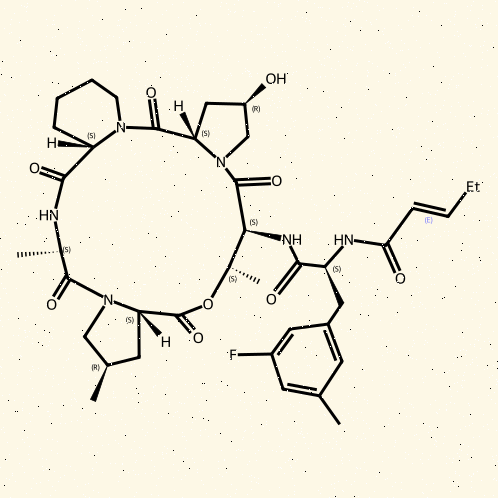 CC/C=C/C(=O)N[C@@H](Cc1cc(C)cc(F)c1)C(=O)N[C@@H]1C(=O)N2C[C@H](O)C[C@H]2C(=O)N2CCCC[C@H]2C(=O)N[C@@H](C)C(=O)N2C[C@H](C)C[C@H]2C(=O)O[C@H]1C